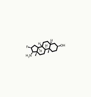 C[C@]12CC[C@H](O)C[C@H]1CC[C@@H]1[C@@H]2CC[C@]2(C)[C@@H](N)[C@@H](F)C[C@@H]12